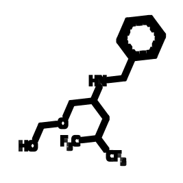 OCOCC(CC(C(F)(F)F)C(F)(F)F)NCc1ccccc1